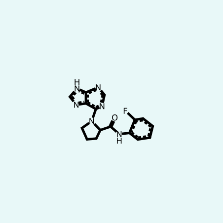 O=C(Nc1ccccc1F)C1CCCN1c1ncnc2[nH]cnc12